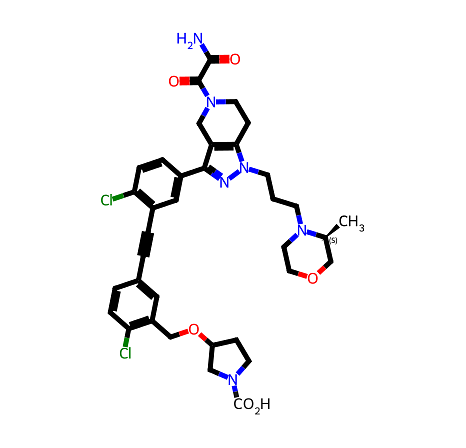 C[C@H]1COCCN1CCCn1nc(-c2ccc(Cl)c(C#Cc3ccc(Cl)c(COC4CCN(C(=O)O)C4)c3)c2)c2c1CCN(C(=O)C(N)=O)C2